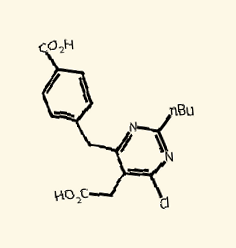 CCCCc1nc(Cl)c(CC(=O)O)c(Cc2ccc(C(=O)O)cc2)n1